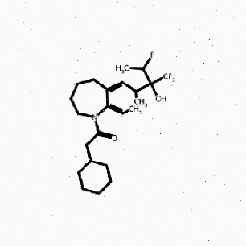 C/C=C1\C(=C/C(C)C(O)(C(C)F)C(F)(F)F)CCCCN1C(=O)CC1CCCCC1